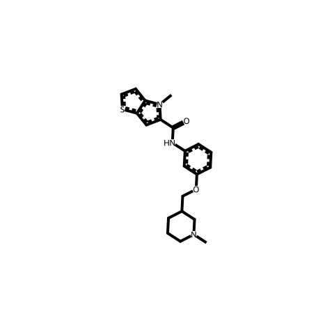 CN1CCCC(COc2cccc(NC(=O)c3cc4sccc4n3C)c2)C1